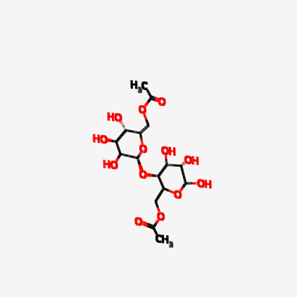 CC(=O)OCC1OC(O)[C@@H](O)C(O)[C@@H]1O[C@@H]1OC(COC(C)=O)[C@@H](O)[C@H](O)C1O